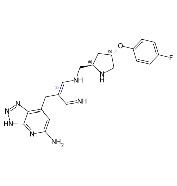 N=C/C(=C\NC[C@H]1C[C@H](Oc2ccc(F)cc2)CN1)Cc1cc(N)nc2[nH]nnc12